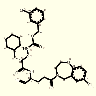 O=C[C@H](CCC(=O)N1CCOc2ccc(Cl)cc2C1)NC(=O)[C@H](CC1CCCCC1)SNC(=O)OCc1cccc(Cl)c1